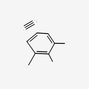 Cc1c(F)cccc1F.N#N